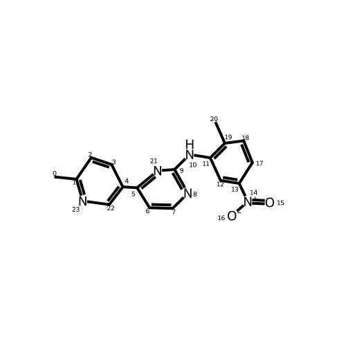 Cc1ccc(-c2ccnc(Nc3cc([N+](=O)[O-])ccc3C)n2)cn1